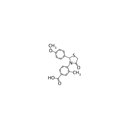 COc1ccc(C2SCC(=O)N2c2ccc(C(=O)O)cc2C)cc1